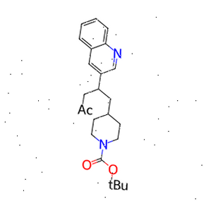 CC(=O)CC(CC1CCN(C(=O)OC(C)(C)C)CC1)c1cnc2ccccc2c1